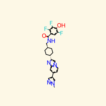 Cn1cc(-c2ccn3cc([C@H]4CC[C@H](CNC(=O)c5cc(F)c(O)c(F)c5F)CC4)nc3c2)cn1